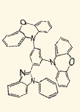 c1ccc(-n2c(-c3cc(N4c5ccccc5Oc5ccccc54)cc(N4c5ccccc5Oc5ccccc54)c3)nc3ccccc32)cc1